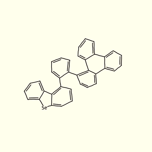 c1ccc(-c2cccc3c4ccccc4c4ccccc4c23)c(-c2cccc3[se]c4ccccc4c23)c1